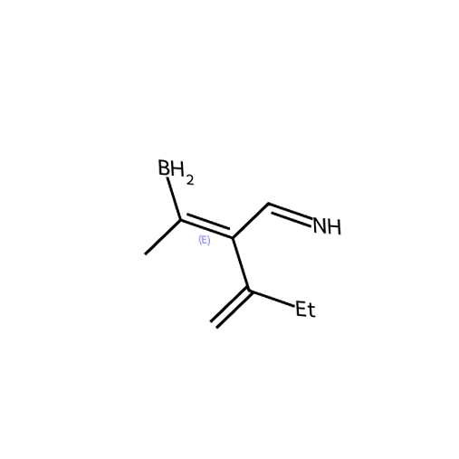 B/C(C)=C(\C=N)C(=C)CC